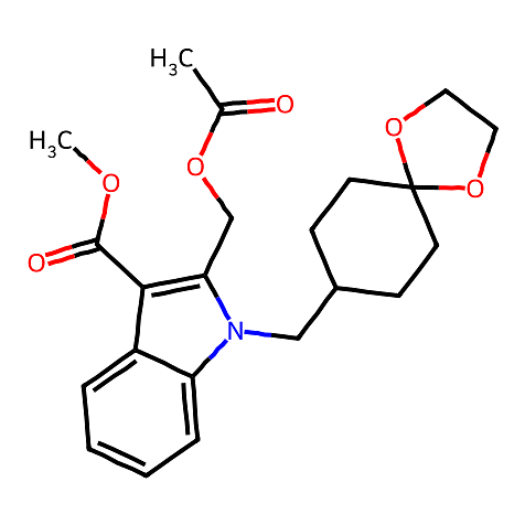 COC(=O)c1c(COC(C)=O)n(CC2CCC3(CC2)OCCO3)c2ccccc12